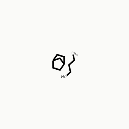 C1CC2CCC1C2.CCCCO